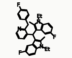 CCn1c(C)c(C(c2cccnc2Cc2ccc(F)cc2)c2c(C)n(CC)c3ccc(F)cc23)c2cc(F)ccc21